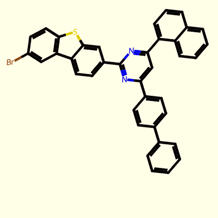 Brc1ccc2sc3cc(-c4nc(-c5ccc(-c6ccccc6)cc5)cc(-c5cccc6ccccc56)n4)ccc3c2c1